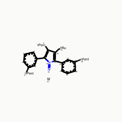 CCCCCC1=C(c2cccc(CCCCC)c2)[N+](=[N-])C(c2cccc(CCCCC)c2)=C1CCCC.[Ni]